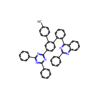 N#Cc1ccc(-c2cc(-c3nc(-c4ccccc4)nc(-c4ccccc4)n3)ccc2-c2ccccc2-c2nc(-c3ccccc3)nc3ccccc23)cc1